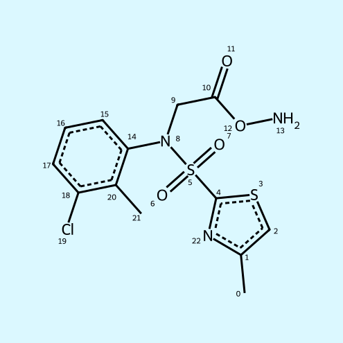 Cc1csc(S(=O)(=O)N(CC(=O)ON)c2cccc(Cl)c2C)n1